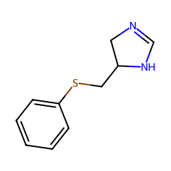 C1=NCC(CSc2ccccc2)N1